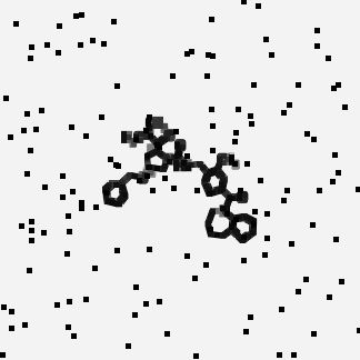 Cc1cc(C(=O)N2CCCCc3ccccc32)ccc1CNC(=O)N1C[C@H](OCc2ccccc2)C[C@H]1C(=O)N(C)C